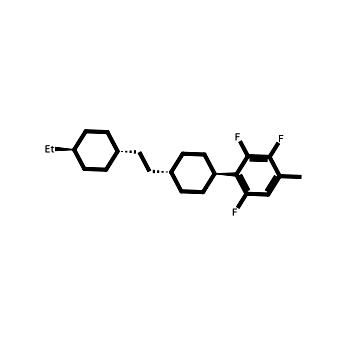 CC[C@H]1CC[C@H](CC[C@H]2CC[C@H](c3c(F)cc(C)c(F)c3F)CC2)CC1